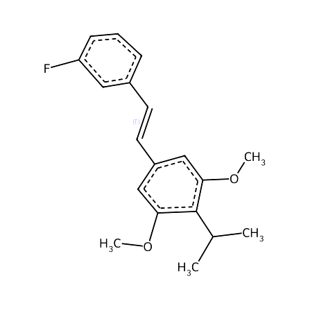 COc1cc(/C=C/c2cccc(F)c2)cc(OC)c1C(C)C